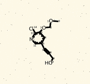 COCOc1cc(C#CCO)cnc1Cl